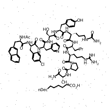 CC(=O)N[C@H](Cc1ccc2ccccc2c1)C(=O)N[C@H](Cc1ccc(Cl)cc1)C(=O)N[C@H](Cc1cccnc1)C(=O)N[C@@H](CO)C(=O)N[C@@H](Cc1ccc(O)cc1)C(=O)N[C@H](CCCNC(N)=O)C(=O)N[C@@H](CC(C)C)C(=O)N[C@@H](CCCNC(=N)N)C(=O)N1CCC[C@H]1C(=O)N[C@H](C)C(N)=O.CCCCCCCCCCCCCCCC(=O)O